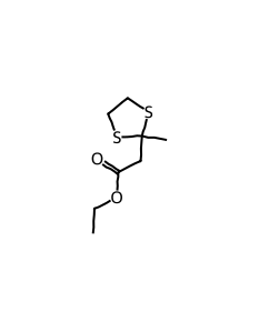 CCOC(=O)CC1(C)SCCS1